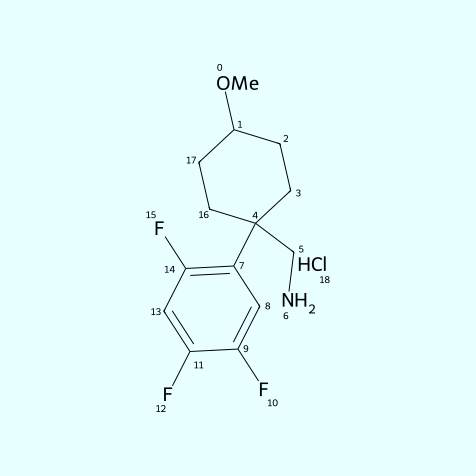 COC1CCC(CN)(c2cc(F)c(F)cc2F)CC1.Cl